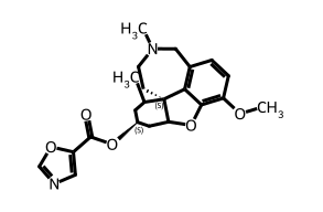 COc1ccc2c3c1OC1C[C@@H](OC(=O)c4cnco4)CC(C)[C@@]31CCN(C)C2